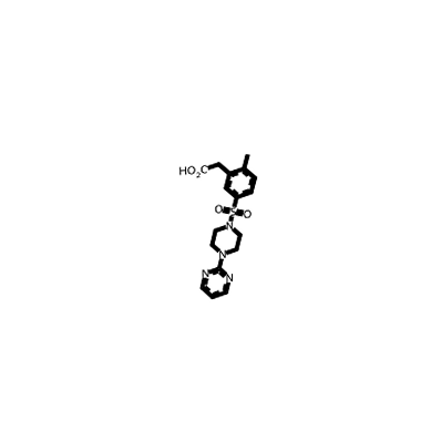 Cc1ccc(S(=O)(=O)N2CCN(c3ncccn3)CC2)cc1CC(=O)O